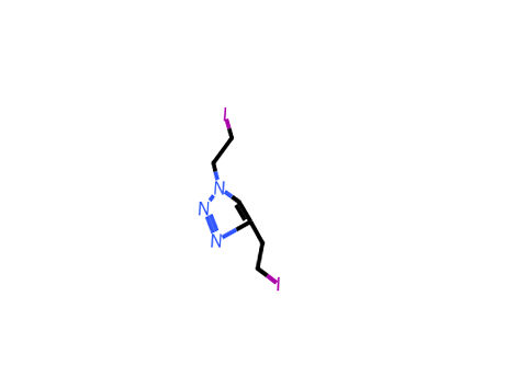 ICCc1cn(CCI)nn1